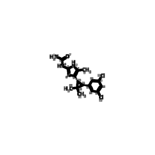 Cc1[nH]c(NC(N)=O)nc1[C@@H]1[C@@H](c2cc(Cl)cc(Cl)c2)C1(C)C